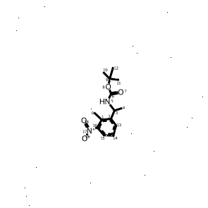 Cc1c(C(C)NC(=O)OC(C)(C)C)cccc1[N+](=O)[O-]